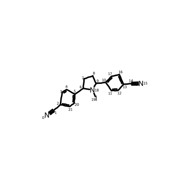 N#Cc1ccc(C2CCC(c3ccc(C#N)cc3)N2I)cc1